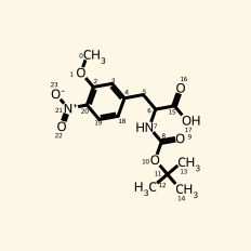 COc1cc(CC(NC(=O)OC(C)(C)C)C(=O)O)ccc1[N+](=O)[O-]